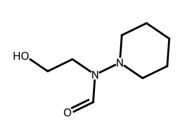 O=CN(CCO)N1CCCCC1